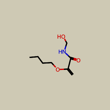 C=C(OCCCC)C(=O)NCO